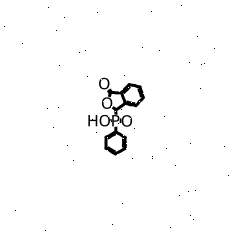 O=C1OC(P(=O)(O)c2ccccc2)c2ccccc21